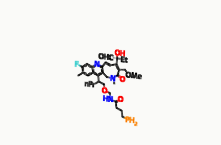 CCCC(COCNC(=O)CCCP)c1c2c(nc3cc(F)c(C)cc13)/C=C/C([C@](O)(C=O)CC)=C(/COC)C(=O)N(C)C2